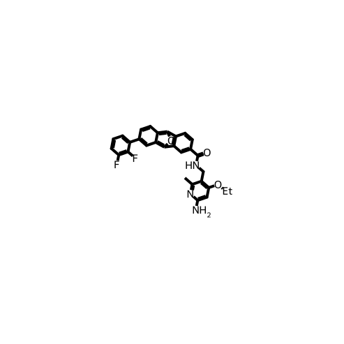 CCOc1cc(N)nc(C)c1CNC(=O)c1ccc2c(c1)c1oc2c2ccc(-c3cccc(F)c3F)cc21